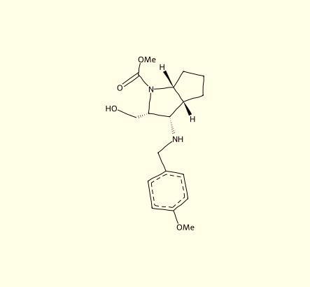 COC(=O)N1[C@@H]2CCC[C@@H]2[C@H](NCc2ccc(OC)cc2)[C@@H]1CO